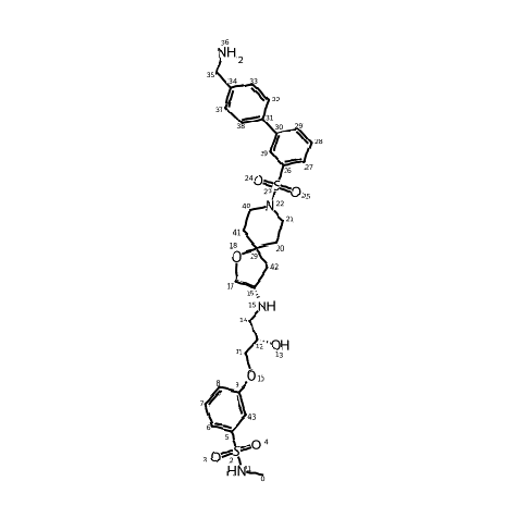 CNS(=O)(=O)c1cccc(OC[C@@H](O)CN[C@@H]2COC3(CCN(S(=O)(=O)c4cccc(-c5ccc(CN)cc5)c4)CC3)C2)c1